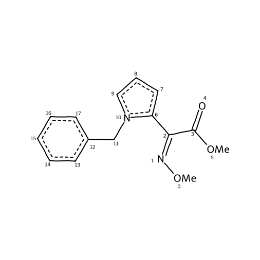 CON=C(C(=O)OC)c1cccn1Cc1ccccc1